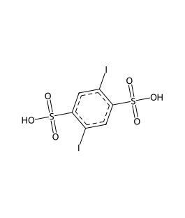 O=S(=O)(O)c1cc(I)c(S(=O)(=O)O)cc1I